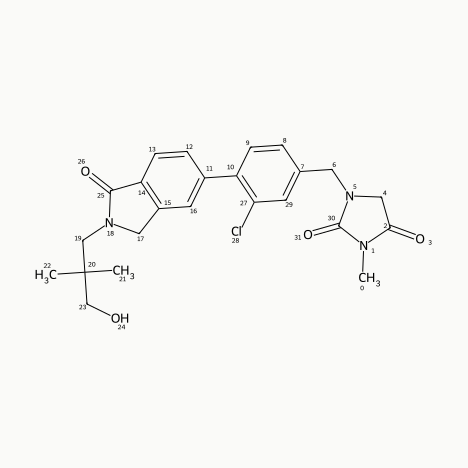 CN1C(=O)CN(Cc2ccc(-c3ccc4c(c3)CN(CC(C)(C)CO)C4=O)c(Cl)c2)C1=O